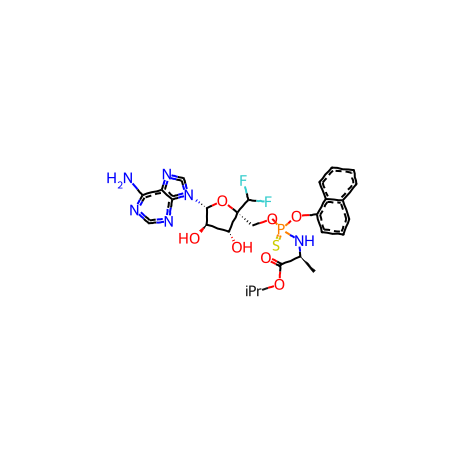 CC(C)OC(=O)[C@H](C)NP(=S)(OC[C@@]1(C(F)F)O[C@@H](n2cnc3c(N)ncnc32)[C@H](O)[C@H]1O)Oc1cccc2ccccc12